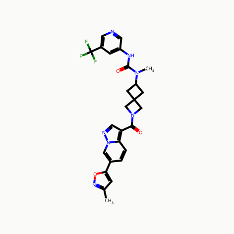 Cc1cc(-c2ccc3c(C(=O)N4CC5(CC(N(C)C(=O)Nc6cncc(C(F)(F)F)c6)C5)C4)cnn3c2)on1